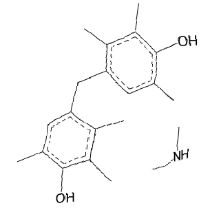 CNC.Cc1cc(Cc2cc(C)c(O)c(C)c2C)c(C)c(C)c1O